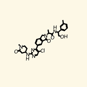 Cc1cccc(C(CO)NC(=O)C(C)N2Cc3ccc(-c4nc(NC5CCN(C)C(=O)C5)ncc4Cl)cc3C2=O)c1